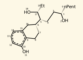 CCCCC[C@H](O)CC[C@H]([C@@H]1CCc2c(O)cccc2C1)[C@H](O)CC